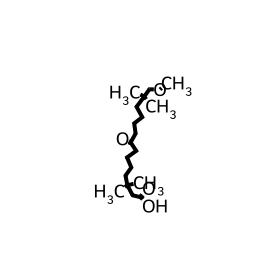 COCC(C)(C)CCCCC(=O)CCCCC(C)(C)CC(=O)O